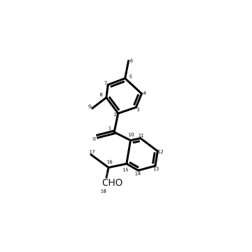 C=C(c1ccc(C)cc1C)c1ccccc1C(C)C=O